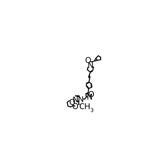 C[C@H](OC1CCCCO1)c1nccn1Cc1cc(-c2ccc(C#CC3=CCN(C(=O)C4C5CCCC54)CC3)cc2)on1